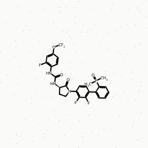 CP(C)(=O)c1ccccc1-c1ccc(N2CC[C@@H](NC(=O)Nc3ccc(OC(F)(F)F)cc3F)C2=O)c(F)c1F